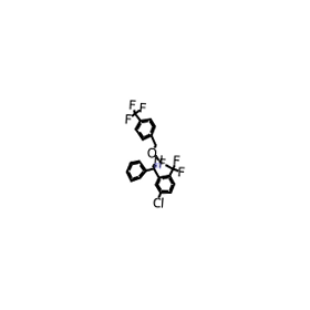 FC(F)(F)c1ccc(CO/N=C(\c2ccccc2)c2cc(Cl)ccc2C(F)(F)F)cc1